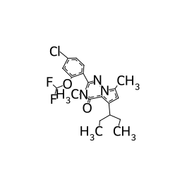 CCC(CC)c1cc(C)n2nc(-c3ccc(Cl)cc3OC(F)F)n(C)c(=O)c12